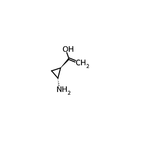 C=C(O)[C@@H]1C[C@H]1N